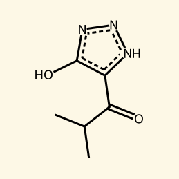 CC(C)C(=O)c1[nH]nnc1O